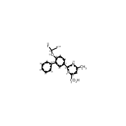 Cc1cc(C(=O)O)nc(-c2ccc(OC(F)F)c(-c3ccccc3)c2)n1